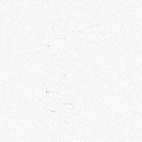 Cc1cc(C2CCCN(C(=O)NC[C@H](O)CN3CCc4ccccc4C3)C2)ccn1